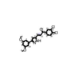 COc1cc(OC)cc(-c2cc(/C=C/C(=O)c3ccc(Cl)c(Cl)c3)[nH]n2)c1